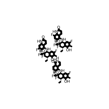 CC[C@@H]1C[C@](O)(C(F)(F)F)[C@@H](Nc2cc(F)cc3[nH]c(=O)ccc23)c2cc(F)c(C)c(O)c21.CC[C@@H]1C[C@](O)(C(F)(F)F)[C@@H](Nc2ccc(F)c3[nH]c(=O)ccc23)c2cc(F)c(C)c(O)c21.CC[C@@H]1C[C@](O)(C(F)(F)F)[C@@H](Nc2cccc3c(=O)[nH]ccc23)c2cc(F)c(C)c(O)c21